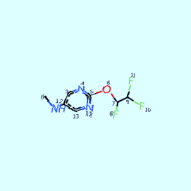 CNc1cnc(OC(F)C(F)F)nc1